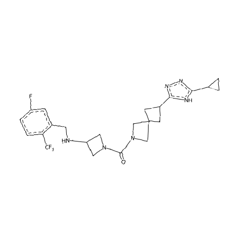 O=C(N1CC(NCc2cc(F)ccc2C(F)(F)F)C1)N1CC2(CC(c3nnc(C4CC4)[nH]3)C2)C1